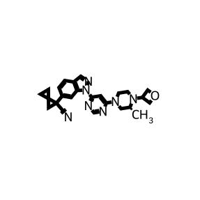 C[C@H]1CN(c2cc(-n3ncc4ccc(C5(C#N)CC56CC6)cc43)ncn2)CCN1C1COC1